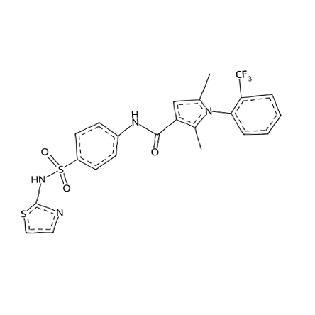 Cc1cc(C(=O)Nc2ccc(S(=O)(=O)Nc3nccs3)cc2)c(C)n1-c1ccccc1C(F)(F)F